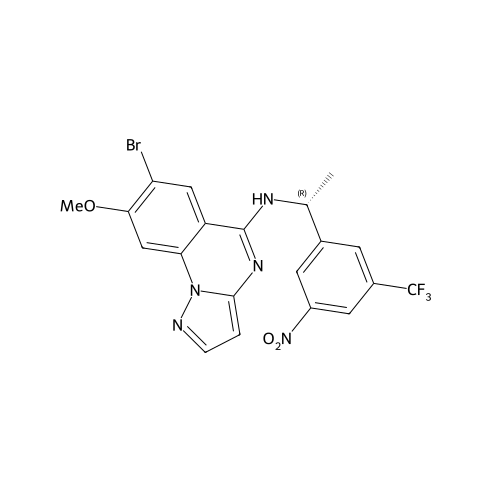 COc1cc2c(cc1Br)c(N[C@H](C)c1cc([N+](=O)[O-])cc(C(F)(F)F)c1)nc1ccnn12